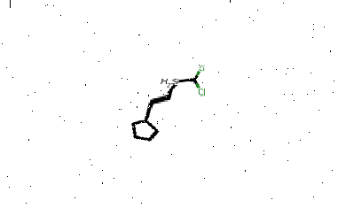 ClC(Cl)[SiH2]CCC1CCCC1